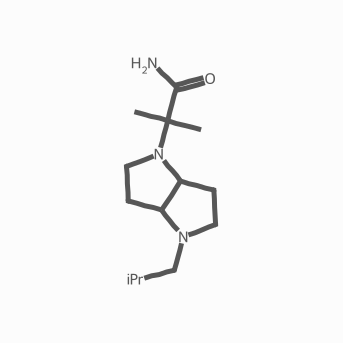 CC(C)CN1CCC2C1CCN2C(C)(C)C(N)=O